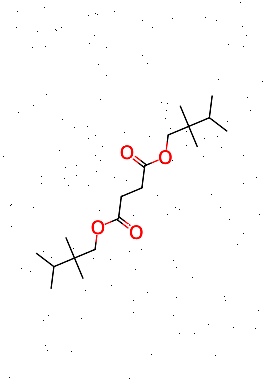 CC(C)C(C)(C)COC(=O)CCC(=O)OCC(C)(C)C(C)C